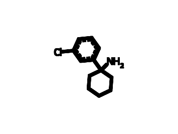 NC1(c2cccc(Cl)c2)CCCCC1